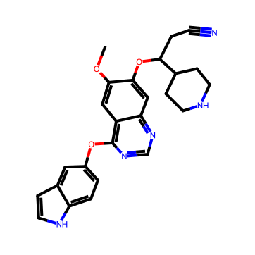 COc1cc2c(Oc3ccc4[nH]ccc4c3)ncnc2cc1OC(CC#N)C1CCNCC1